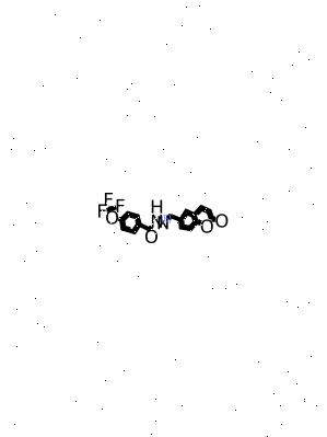 O=C(N/N=C/c1ccc2oc(=O)ccc2c1)c1ccc(OC(F)(F)F)cc1